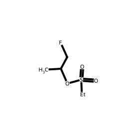 CCS(=O)(=O)OC(C)CF